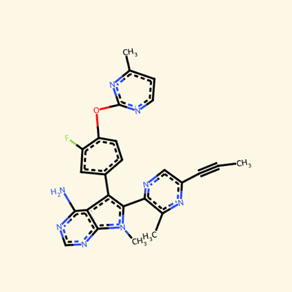 CC#Cc1cnc(-c2c(-c3ccc(Oc4nccc(C)n4)c(F)c3)c3c(N)ncnc3n2C)c(C)n1